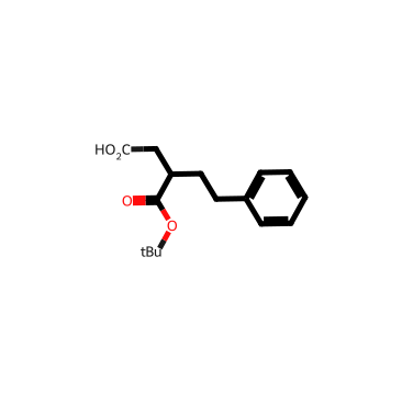 CC(C)(C)OC(=O)C(CCc1ccccc1)CC(=O)O